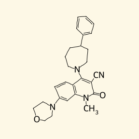 Cn1c(=O)c(C#N)c(N2CCCC(c3ccccc3)CC2)c2ccc(N3CCOCC3)cc21